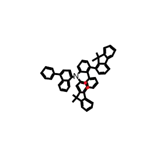 CC1(C)c2ccccc2-c2ccc(N(c3cccc(-c4cccc5c4C(C)(C)c4ccccc4-5)c3-c3ccccc3)c3ccc(-c4ccccc4)c4ccccc34)cc21